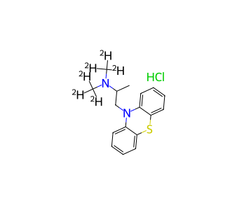 Cl.[2H]C([2H])([2H])N(C(C)CN1c2ccccc2Sc2ccccc21)C([2H])([2H])[2H]